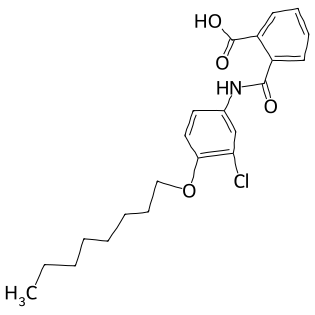 CCCCCCCCOc1ccc(NC(=O)c2ccccc2C(=O)O)cc1Cl